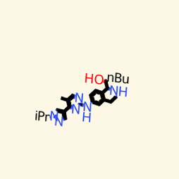 CCCCC(O)C1NCCc2cc(Nc3ncc(C)c(-c4cnn(C(C)C)c4)n3)ccc21